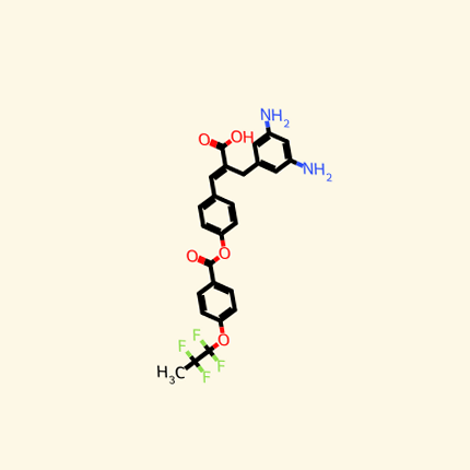 CC(F)(F)C(F)(F)Oc1ccc(C(=O)Oc2ccc(/C=C(\Cc3cc(N)cc(N)c3)C(=O)O)cc2)cc1